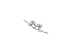 CCCCOC(=O)C=C(CC(=O)OCCCC)C(=O)O